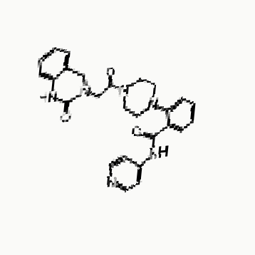 O=C(Nc1ccncc1)c1ccccc1N1CCN(C(=O)CN2Cc3ccccc3NC2=O)CC1